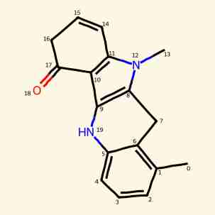 Cc1cccc2c1Cc1c(c3c(n1C)C=CCC3=O)N2